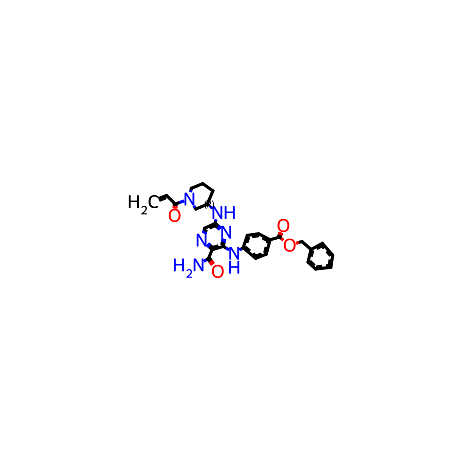 C=CC(=O)N1CCC[C@@H](Nc2cnc(C(N)=O)c(Nc3ccc(C(=O)OCc4ccccc4)cc3)n2)C1